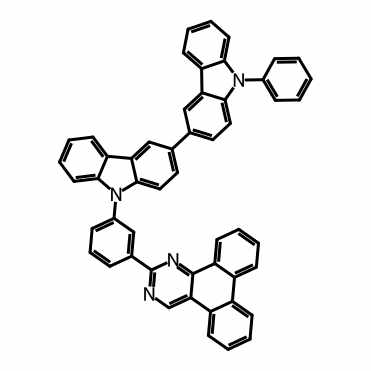 c1ccc(-n2c3ccccc3c3cc(-c4ccc5c(c4)c4ccccc4n5-c4cccc(-c5ncc6c7ccccc7c7ccccc7c6n5)c4)ccc32)cc1